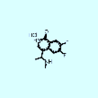 CNC(C)c1c[nH]c(=O)c2cc(F)c(F)cc12.Cl